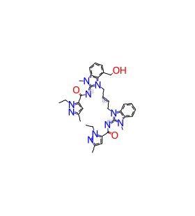 CCn1nc(C)cc1C(=O)/N=c1\n(C)c2ccccc2n1C/C=C/Cn1/c(=N/C(=O)c2cc(C)nn2CC)n(C)c2cccc(CO)c21